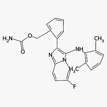 Cc1cccc(C)c1Nc1c(-c2ccccc2COC(N)=O)nc2ccc(F)cn12